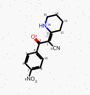 N#C/C(C(=O)c1ccc([N+](=O)[O-])cc1)=C1\CCCCN1